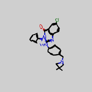 CC1(C)CN(Cc2ccc(Nc3nc4ccc(Cl)cc4c(=O)n3-c3ccccc3)cc2)C1